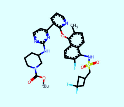 Cc1ccc2c(NS(=O)(=O)CC3CC(F)(F)C3)c(F)ccc2c1Oc1ncccc1-c1ccnc(NC2CCCN(C(=O)OC(C)(C)C)C2)n1